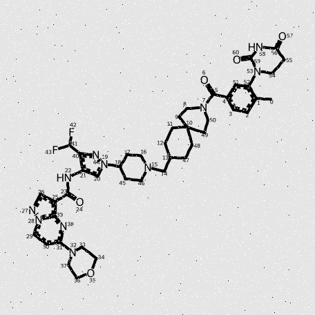 Cc1ccc(C(=O)N2CCC3(CCC(CN4CCC(n5cc(NC(=O)c6cnn7ccc(N8CCOCC8)nc67)c(C(F)F)n5)CC4)CC3)CC2)cc1N1CCC(=O)NC1=O